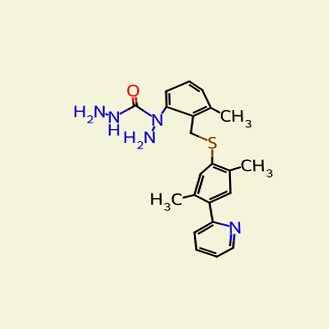 Cc1cc(-c2ccccn2)c(C)cc1SCc1c(C)cccc1N(N)C(=O)NN